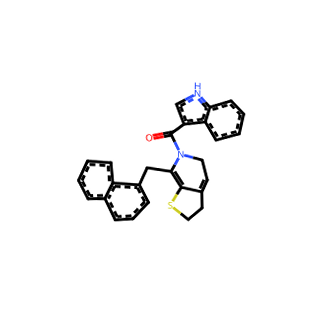 O=C(c1c[nH]c2ccccc12)N1CC=C2CCSC2=C1Cc1cccc2ccccc12